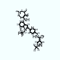 CC1CN(C)CCC(Nc2cccc3c2cc(-c2ccc(CNC(=O)c4cnn(C(C)(C)C)c4)cn2)n3CC(F)(F)F)=C1F